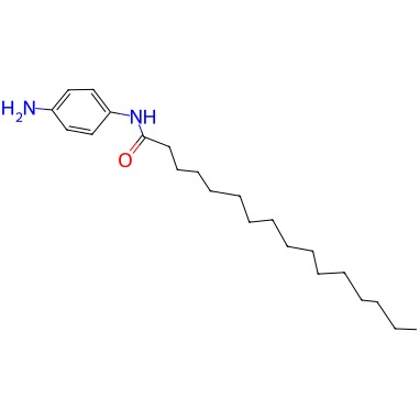 CCCCCCCCCCCCCCCC(=O)Nc1ccc(N)cc1